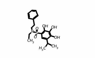 CCN(CCc1ccccc1)S(=O)(=O)c1cc(C(C)C)c(O)c(O)c1O